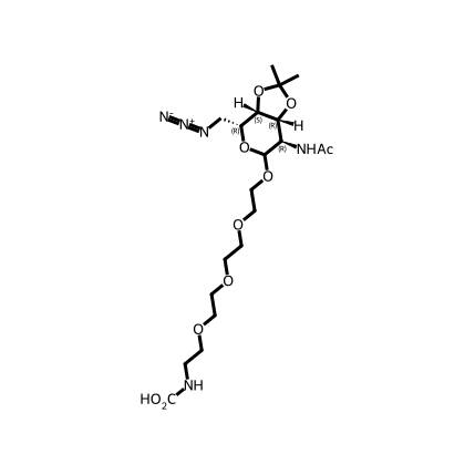 CC(=O)N[C@H]1C(OCCOCCOCCOCCNC(=O)O)O[C@H](CN=[N+]=[N-])[C@@H]2OC(C)(C)O[C@@H]21